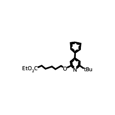 CCOC(=O)CCCCCOc1cc(-c2ccccc2)cc(C(C)(C)C)n1